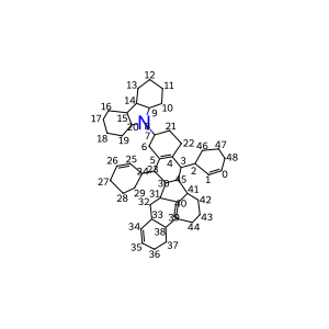 C1=CC(C2C3=C(CC(N4C5CCCCC5C5CCCCC54)CC3)C(C3C=CCCC3)C3C4CC5C=CCCC5C5=C4C(CCC5)C23)CCC1